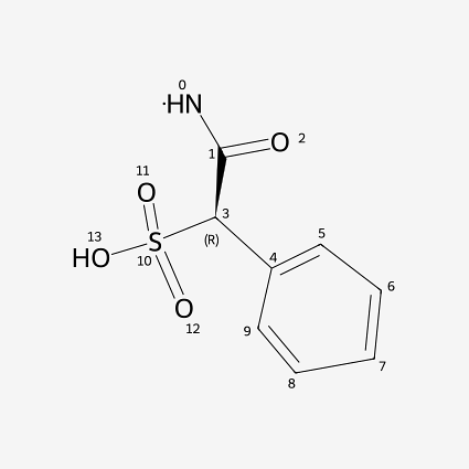 [NH]C(=O)[C@@H](c1ccccc1)S(=O)(=O)O